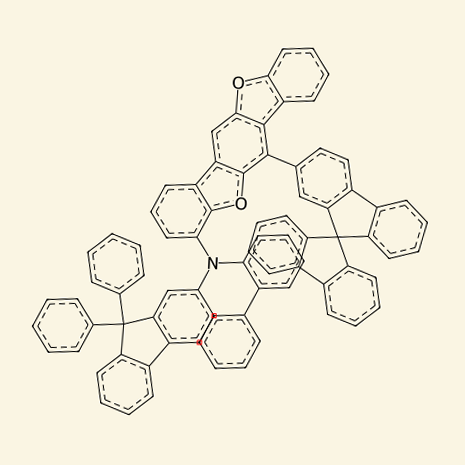 c1ccc(-c2ccccc2N(c2ccc3c(c2)C(c2ccccc2)(c2ccccc2)c2ccccc2-3)c2cccc3c2oc2c(-c4ccc5c(c4)C4(c6ccccc6-c6ccccc64)c4ccccc4-5)c4c(cc23)oc2ccccc24)cc1